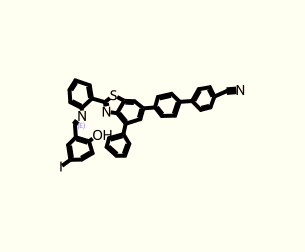 N#Cc1ccc(-c2ccc(-c3cc(-c4ccccc4)c4nc(-c5ccccc5/N=C/c5cc(I)ccc5O)sc4c3)cc2)cc1